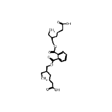 CCC(CCCC(=O)O)COC(=O)c1ccccc1C(=O)OCC(CC)CCCC(=O)O